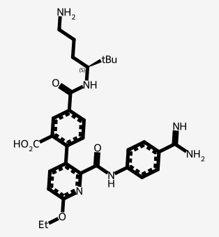 CCOc1ccc(-c2ccc(C(=O)N[C@@H](CCCN)C(C)(C)C)cc2C(=O)O)c(C(=O)Nc2ccc(C(=N)N)cc2)n1